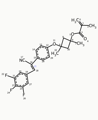 C=C(C)C(=O)OC1(C)CC(C)(Oc2ccc(/C(C#N)=C/c3cc(F)c(F)c(F)c3)cc2)C1